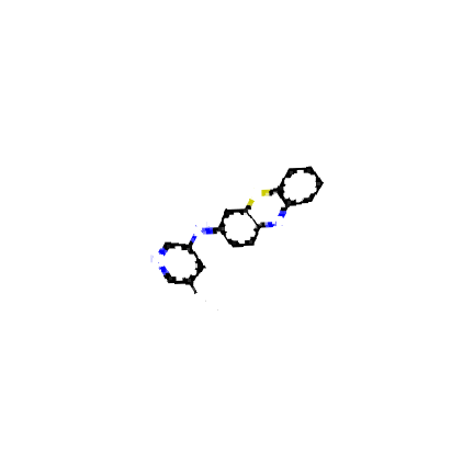 O=C(O)c1cncc(/N=c2\ccc3nc4ccccc4sc-3c2)c1